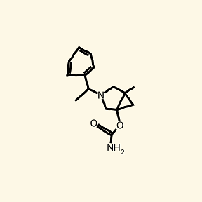 CC(c1ccccc1)N1CC2(C)CC2(OC(N)=O)C1